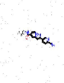 CNC(=O)c1ccn2nc(-c3ccc(C#N)nc3)cc2c1